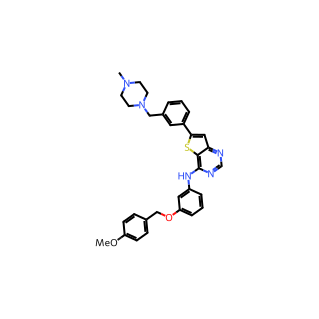 COc1ccc(COc2cccc(Nc3ncnc4cc(-c5cccc(CN6CCN(C)CC6)c5)sc34)c2)cc1